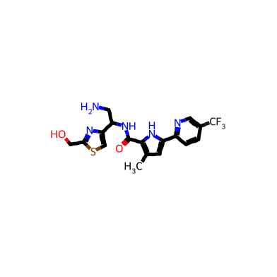 Cc1cc(-c2ccc(C(F)(F)F)cn2)[nH]c1C(=O)NC(CN)c1csc(CO)n1